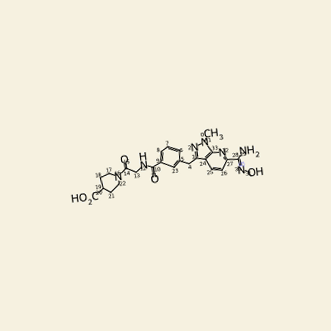 Cn1nc(Cc2cccc(C(=O)NCC(=O)N3CCC(C(=O)O)CC3)c2)c2ccc(/C(N)=N/O)nc21